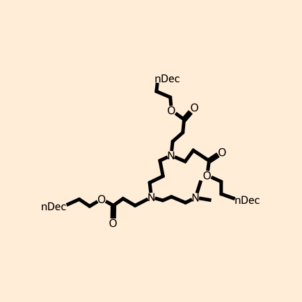 CCCCCCCCCCCCOC(=O)CCN(CCCN(C)C)CCCN(CCC(=O)OCCCCCCCCCCCC)CCC(=O)OCCCCCCCCCCCC